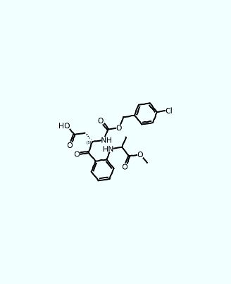 COC(=O)C(C)Nc1ccccc1C(=O)[C@H](CC(=O)O)NC(=O)OCc1ccc(Cl)cc1